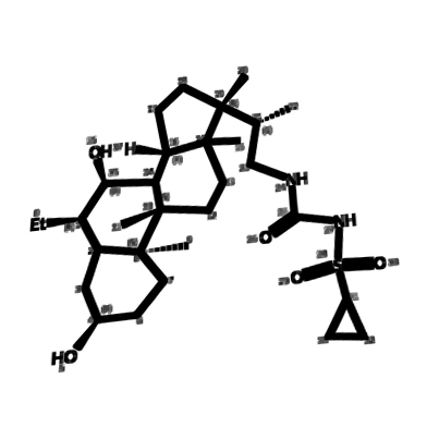 CC[C@@H]1C2C[C@H](O)CC[C@]2(C)[C@@]2(C)CCC3(C)[C@@H](CC[C@]3(C)[C@H](C)CNC(=O)NS(=O)(=O)C3CC3)C2[C@@H]1O